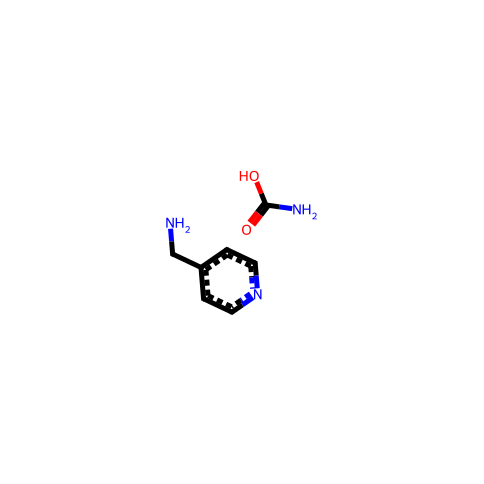 NC(=O)O.NCc1ccncc1